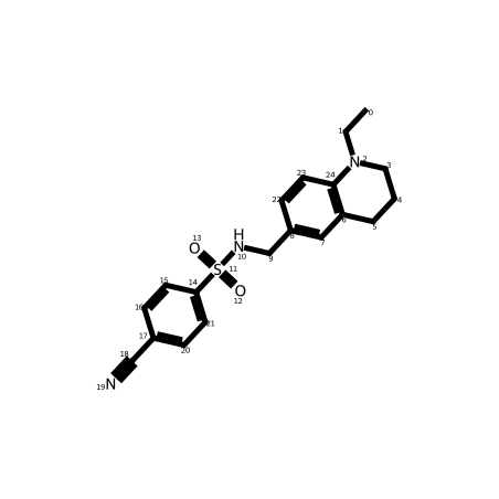 CCN1CCCc2cc(CNS(=O)(=O)c3ccc(C#N)cc3)ccc21